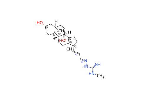 CNC(=N)N/N=C/C=C/[C@H]1CC[C@]2(O)[C@@H]3CC[C@@H]4C[C@@H](O)CC[C@]4(C)[C@H]3CC[C@]12C